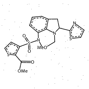 COCN1c2c(cccc2N(C)S(=O)(=O)c2ccsc2C(=O)OC)CC1c1nccs1